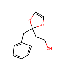 OCCC1(Cc2ccccc2)OC=CO1